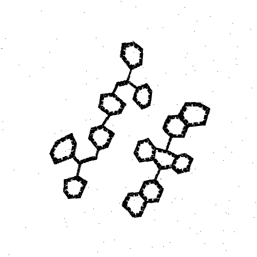 C(=C(c1ccccc1)c1ccccc1)c1ccc(-c2ccc(C=C(c3ccccc3)c3ccccc3)cc2)cc1.c1ccc2cc(-c3c4ccccc4c(-c4ccc5ccccc5c4)c4ccccc34)ccc2c1